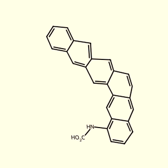 O=C(O)Nc1cccc2cc3ccc4cc5cc6ccccc6cc5cc4c3cc12